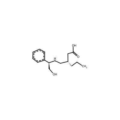 CCC[C@H](CN[C@@H](CO)c1ccccc1)CC(=O)O